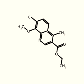 CCOC(=O)c1cnc2c(OC)c(Cl)ccc2c1C